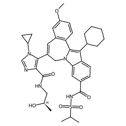 COc1ccc2c(c1)C=C(c1c(C(=O)NC[C@@H](C)O)ncn1C1CC1)Cn1c-2c(C2CCCCC2)c2ccc(C(=O)NS(=O)(=O)C(C)C)cc21